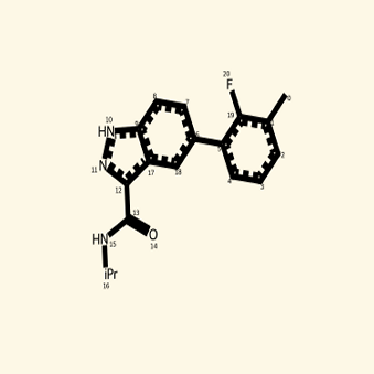 Cc1cccc(-c2ccc3[nH]nc(C(=O)NC(C)C)c3c2)c1F